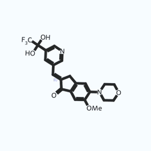 COc1cc2c(cc1N1CCOCC1)C/C(=C\c1cncc(C(O)(O)C(F)(F)F)c1)C2=O